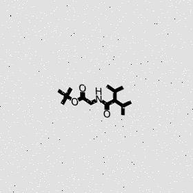 CC(C)C(C(=O)NCC(=O)OC(C)(C)C)C(C)C